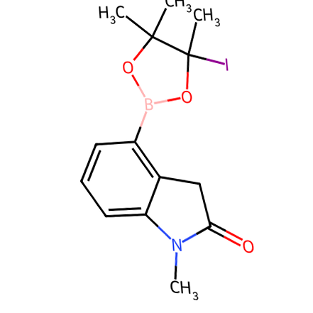 CN1C(=O)Cc2c(B3OC(C)(C)C(C)(I)O3)cccc21